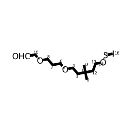 CC(C)(CCOCCCOCC=O)CCOSI